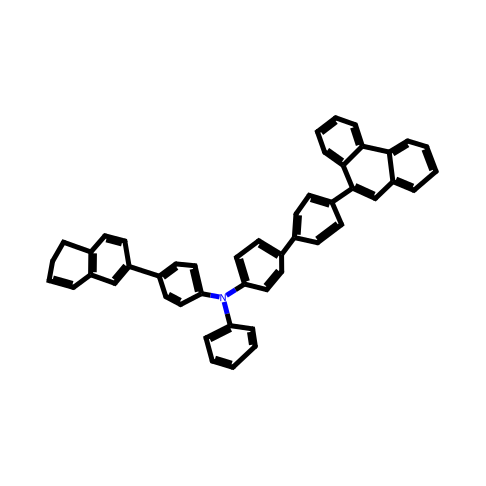 C1=Cc2cc(-c3ccc(N(c4ccccc4)c4ccc(-c5ccc(-c6cc7ccccc7c7ccccc67)cc5)cc4)cc3)ccc2CC1